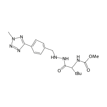 COC(=O)NC(C(=O)NNCc1ccc(-c2nnn(C)n2)cc1)C(C)(C)C